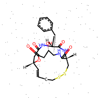 C[C@H]1NC(=O)C[C@H]2/C=C/CCSSC[C@@H](NC1=O)C(=O)N[C@H](Cc1ccccc1)[C@@H](O)CC(=O)O2